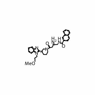 COCCCn1c([C@@H]2CCCN(C(=O)C[C@@H](N)CNC(=O)c3ccc4ccccc4c3)C2)nc2ccccc21